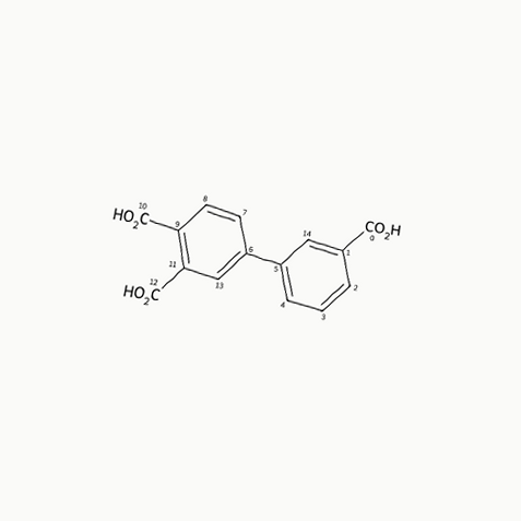 O=C(O)c1cccc(-c2ccc(C(=O)O)c(C(=O)O)c2)c1